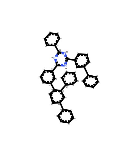 c1ccc(-c2cccc(-c3nc(-c4ccccc4)nc(-c4cccc(-c5ccc(-c6ccccc6)cc5-c5ccccc5)c4)n3)c2)cc1